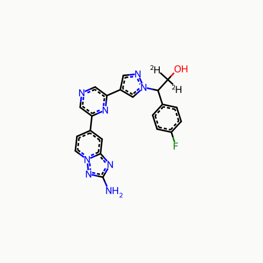 [2H]C([2H])(O)C(c1ccc(F)cc1)n1cc(-c2cncc(-c3ccn4nc(N)nc4c3)n2)cn1